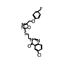 O=c1c2cc(Cl)ccc2ncn1CCSc1nnc(COc2ccc(F)cc2)o1